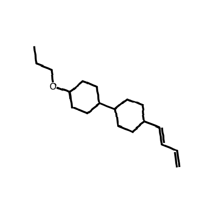 C=CC=CC1CCC(C2CCC(OCCC)CC2)CC1